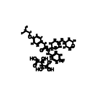 CC(C)COc1ccc(CC(=O)N(Cc2ccc(F)cc2)C2CCN(CC3CCOCC3)CC2)cc1.O=C(O)C(O)C(O)C(=O)O